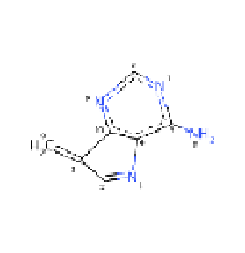 C=C1C=Nc2c(N)ncnc21